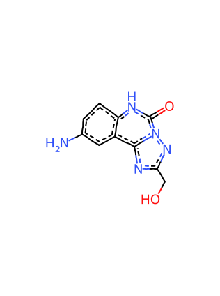 Nc1ccc2[nH]c(=O)n3nc(CO)nc3c2c1